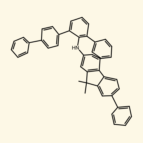 CC1(C)c2cc(Nc3c(-c4ccccc4)cccc3-c3ccc(-c4ccccc4)cc3)ccc2-c2ccc(-c3ccccc3)cc21